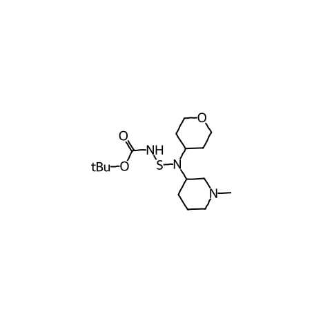 CN1CCCC(N(SNC(=O)OC(C)(C)C)C2CCOCC2)C1